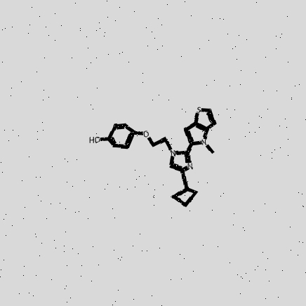 Cn1c(-c2nc(C3CCC3)cn2CCOc2ccc(O)cc2)cc2sccc21